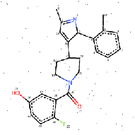 CC1=NC(c2ccccc2C)C(C2CCN(C(=O)c3cc(O)ccc3F)CC2)=C1